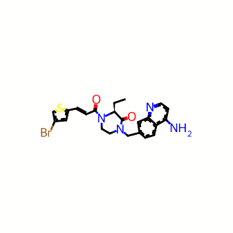 CC[C@H]1C(=O)N(Cc2ccc3c(N)ccnc3c2)CCN1C(=O)/C=C/c1cc(Br)cs1